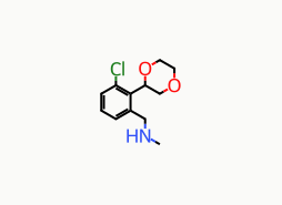 CNCc1cccc(Cl)c1C1COCCO1